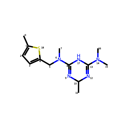 Cc1ccc(CN(C)C2=NC(C)N=C(N(C)C)N2)s1